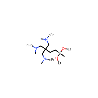 CCCN(C)CC(CC[Si](C)(OCC)OCC)(CN(C)CCC)CN(C)CCC